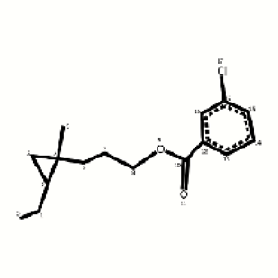 CCC1CC1(C)CCCOC(=O)c1[c]ccc(Cl)c1